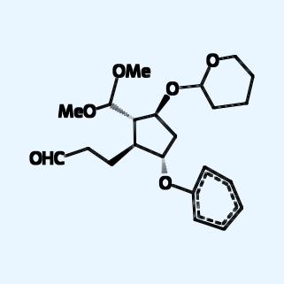 COC(OC)[C@H]1[C@H](CCC=O)[C@@H](Oc2ccccc2)C[C@@H]1OC1CCCCO1